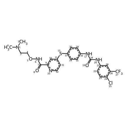 CN(C)CCONC(=O)c1cc(Sc2ccc(NC(=O)Nc3ccc(Cl)c(C(F)(F)F)c3)cc2)ccn1